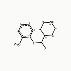 COc1c[c]ccc1OC(C)C1CCNCC1